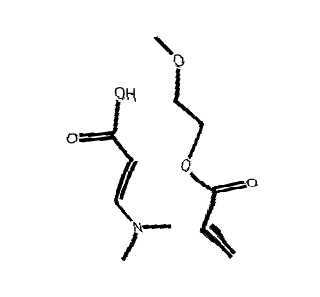 C=CC(=O)OCCOC.CN(C)C=CC(=O)O